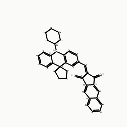 O=C1C(=Cc2ccc3c(c2)C2(CCCC2)c2ccccc2N3C2CCCCC2)C(=O)c2cc3ccccc3cc21